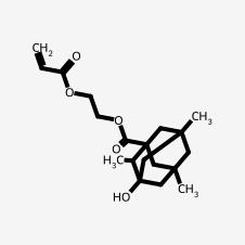 C=CC(=O)OCCOC(=O)C12CC3(C)CC(C)(CC(O)(C3)C1C)C2